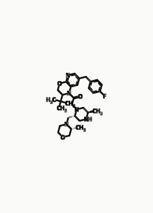 C[C@@H]1CN(CC(=O)N2c3cc(Cc4ccc(F)cc4)cnc3OCC2C(C)(C)C)[C@@H](CN2CCOC[C@H]2C)CN1